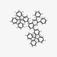 c1ccc(-c2nc3c(-c4ccc5c(c4)C(c4ccccc4)(c4ccccc4)c4ccccc4-5)ccc(-c4ccc5c(c4)C(c4ccccc4)(c4ccccc4)c4ccccc4-5)c3nc2-c2ccccc2)cc1